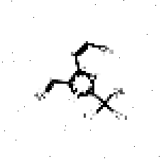 C=Cc1oc(C(C)(C)C)nc1/C=C\C